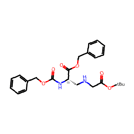 CC(C)(C)OC(=O)CNC[C@H](NC(=O)OCc1ccccc1)C(=O)OCc1ccccc1